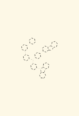 c1ccc(-c2cccc(-c3cccc(N(c4ccc(-c5ccc6c(c5)oc5ccccc56)cc4)c4cccc(-n5c6ccccc6c6ccccc65)c4)c3)c2)cc1